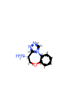 N[C@H]1COc2ccccc2-n2cnnc21